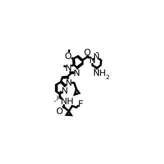 COc1cc(C(=O)N2C[C@H](N)CCN2C)cc2nc(-c3cc4ccc([C@@H](C)NC(=O)C5(CCF)CC5)nc4n3CC3CC3)n(C)c12